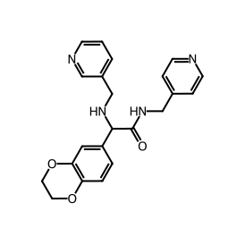 O=C(NCc1ccncc1)C(NCc1cccnc1)c1ccc2c(c1)OCCO2